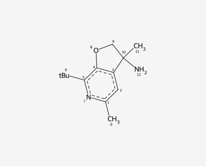 Cc1cc2c(c(C(C)(C)C)n1)OCC2(C)N